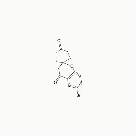 O=C1CCC2(CC1)CC(=O)c1cc(Br)ccc1O2